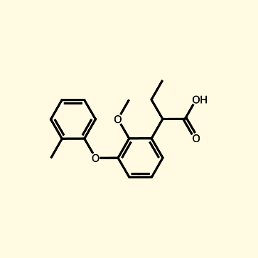 CCC(C(=O)O)c1cccc(Oc2ccccc2C)c1OC